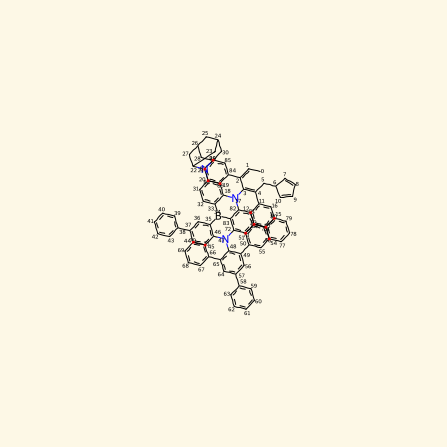 C/C=C(\C(=C(/CC1C=CC=C1)c1ccccc1)N1c2cc(N3C4CC5CC(C4)CC3C5)ccc2B2c3cc(-c4ccccc4)ccc3N(c3c(-c4ccccc4)cc(-c4ccccc4)cc3-c3ccccc3)c3cc(-c4ccccc4)cc1c32)c1ccccc1